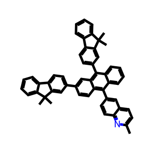 Cc1ccc2cc(-c3c4ccccc4c(-c4ccc5c(c4)C(C)(C)c4ccccc4-5)c4cc(-c5ccc6c(c5)C(C)(C)c5ccccc5-6)ccc34)ccc2n1